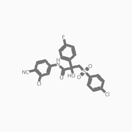 N#Cc1ccc(NC(=O)C(O)(CS(=O)(=O)c2ccc(Cl)cc2)c2ccc(F)cc2)cc1Cl